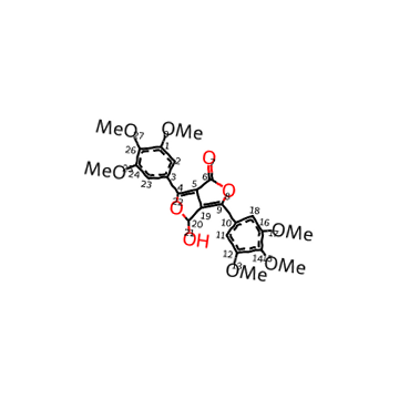 COc1cc(C2=C3C(=O)OC(c4cc(OC)c(OC)c(OC)c4)=C3C(O)O2)cc(OC)c1OC